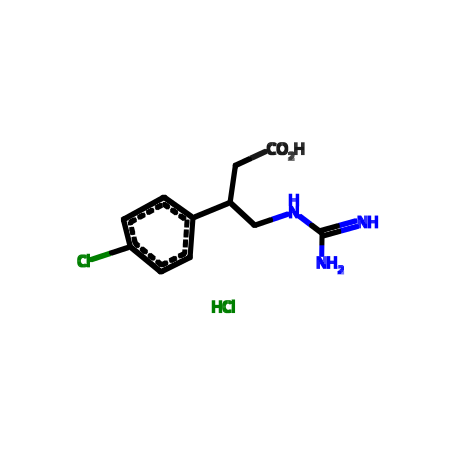 Cl.N=C(N)NCC(CC(=O)O)c1ccc(Cl)cc1